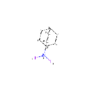 IN(I)C12CCC(CC1)CC2